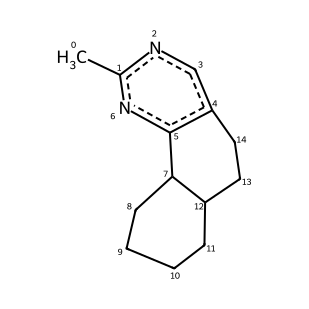 Cc1ncc2c(n1)C1CCCCC1CC2